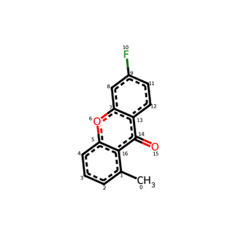 Cc1cccc2oc3cc(F)ccc3c(=O)c12